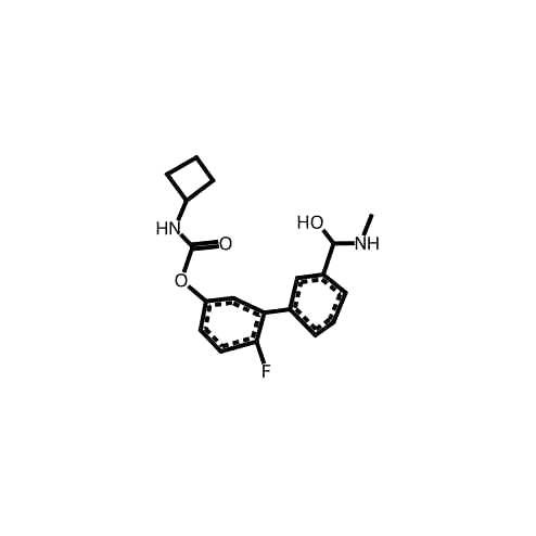 CNC(O)c1cccc(-c2cc(OC(=O)NC3CCC3)ccc2F)c1